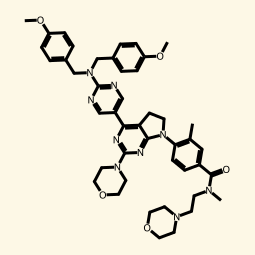 COc1ccc(CN(Cc2ccc(OC)cc2)c2ncc(-c3nc(N4CCOCC4)nc4c3CCN4c3ccc(C(=O)N(C)CCN4CCOCC4)cc3C)cn2)cc1